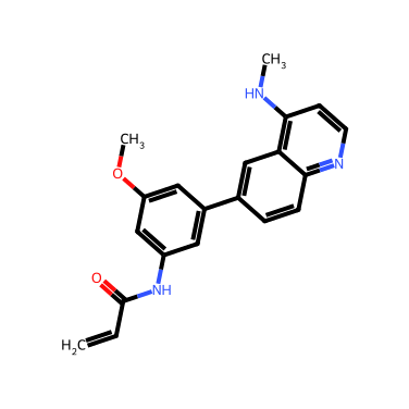 C=CC(=O)Nc1cc(OC)cc(-c2ccc3nccc(NC)c3c2)c1